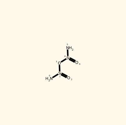 N[Si](=O)O[Si](N)=O